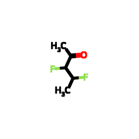 CC(=O)C(F)C(C)F